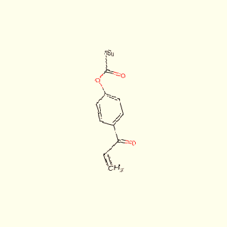 C=CC(=O)c1ccc(OC(=O)CCCC)cc1